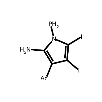 CC(=O)c1c(I)c(I)n(P)c1N